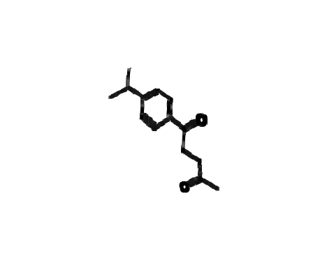 CC(=O)CCC(=O)c1ccc(C(C)C)cc1